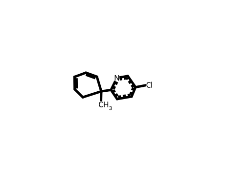 CC1(c2ccc(Cl)cn2)C=CC=CC1